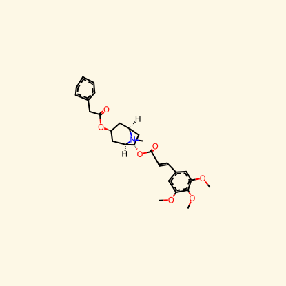 COc1cc(/C=C/C(=O)O[C@H]2C[C@@H]3C[C@H](OC(=O)Cc4ccccc4)C[C@H]2N3C)cc(OC)c1OC